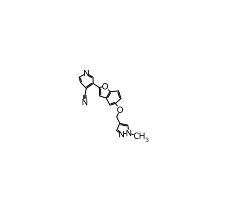 Cn1cc(COc2ccc3oc(-c4cnccc4C#N)cc3c2)cn1